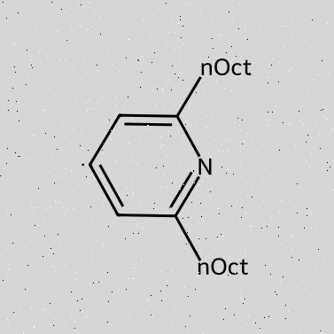 CCCCCCCCc1c[c]cc(CCCCCCCC)n1